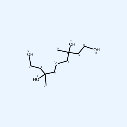 CC(O)(CCO)CSCC(C)(O)CCO